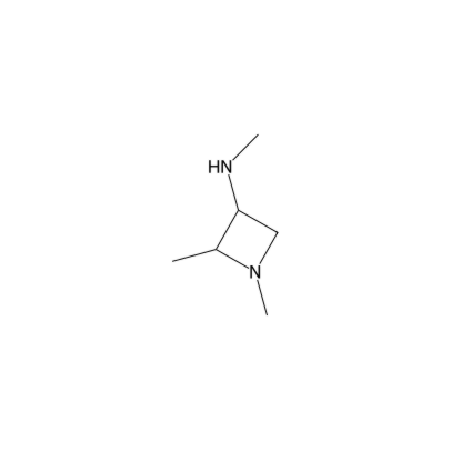 CNC1CN(C)C1C